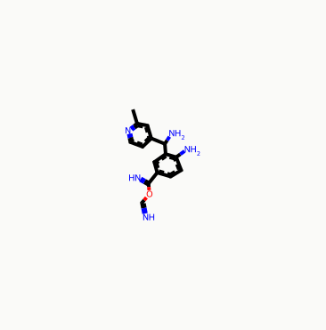 Cc1cc(C(N)c2cc(C(=N)OC=N)ccc2N)ccn1